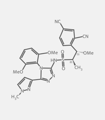 COc1cccc(OC)c1-n1c(NS(=O)(=O)[C@H](C)[C@@H](OC)c2ccc(C#N)cc2C#N)nnc1-c1ccn(C)n1